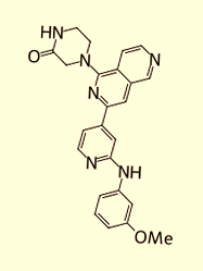 COc1cccc(Nc2cc(-c3cc4cnccc4c(N4CCNC(=O)C4)n3)ccn2)c1